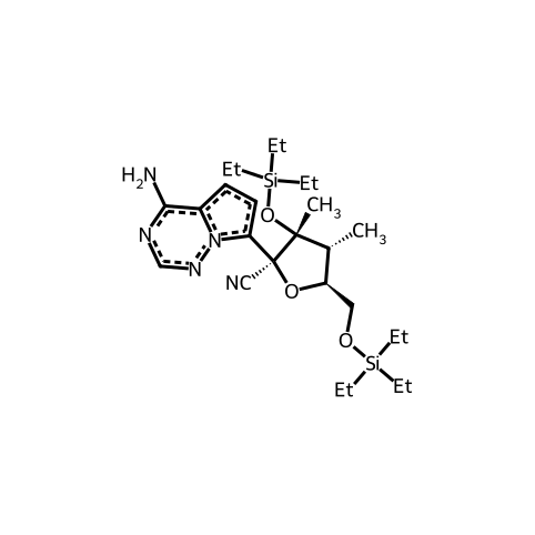 CC[Si](CC)(CC)OC[C@H]1O[C@@](C#N)(c2ccc3c(N)ncnn23)[C@](C)(O[Si](CC)(CC)CC)[C@@H]1C